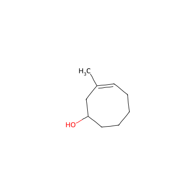 CC1=CCCCCC(O)C1